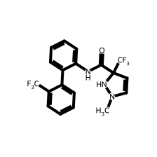 CN1C=CC(C(=O)Nc2ccccc2-c2ccccc2C(F)(F)F)(C(F)(F)F)N1